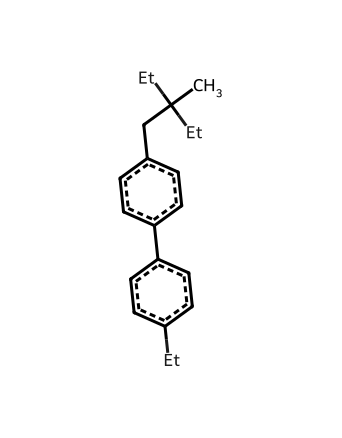 CCc1ccc(-c2ccc(CC(C)(CC)CC)cc2)cc1